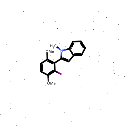 COc1ccc(OC)c(-c2cc3ccccc3n2C)c1I